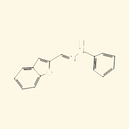 C(=NNc1ccccc1)c1cc2ccccc2o1